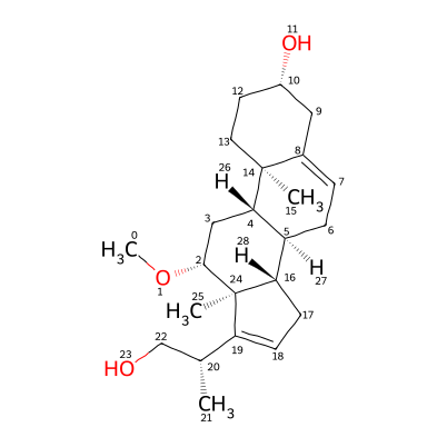 CO[C@@H]1C[C@H]2[C@@H](CC=C3C[C@@H](O)CC[C@@]32C)[C@@H]2CC=C([C@H](C)CO)[C@@]12C